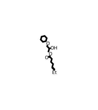 CCC=CCCCC(=O)OCC(O)COC1CCCCC1